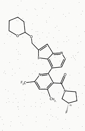 Cc1cc(C(F)(F)F)nc(-c2ccnc3cc(COC4CCCCO4)sc23)c1C(=O)N1CC[C@H](F)C1